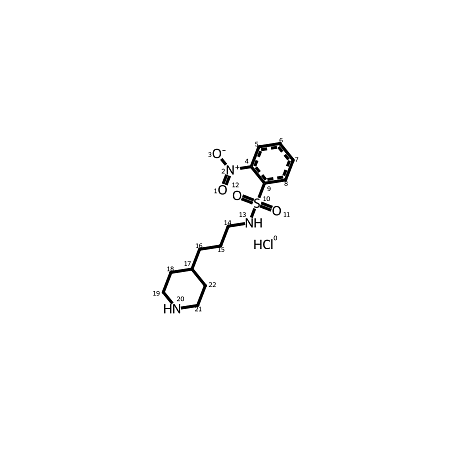 Cl.O=[N+]([O-])c1ccccc1S(=O)(=O)NCCCC1CCNCC1